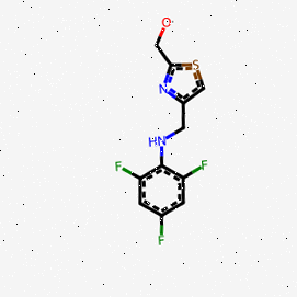 [O]Cc1nc(CNc2c(F)cc(F)cc2F)cs1